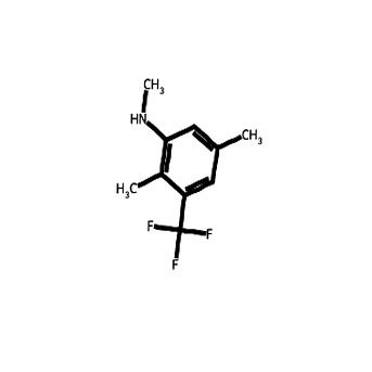 CNc1cc(C)cc(C(F)(F)F)c1C